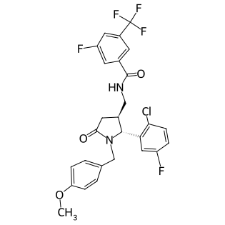 COc1ccc(CN2C(=O)C[C@@H](CNC(=O)c3cc(F)cc(C(F)(F)F)c3)[C@@H]2c2cc(F)ccc2Cl)cc1